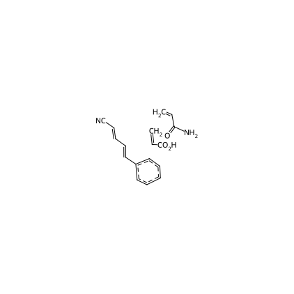 C=CC(=O)O.C=CC(N)=O.N#CC=CC=Cc1ccccc1